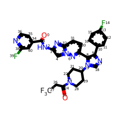 O=C(Nc1cn2nc(-c3c(-c4ccc(F)cc4)ncn3C3CCN(C(=O)CC(F)(F)F)CC3)ccc2n1)c1ccnc(F)c1